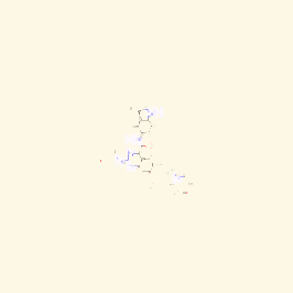 COc1cc2nc(N3CCOCC3)nc(C(=O)Nc3ccc4[nH]c(C)c(C)c4c3)c2cc1CCCN1CCOCC1